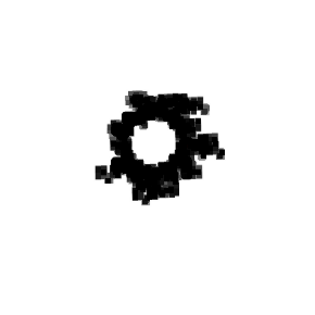 CC[C@@H]1NC(=O)[C@H](Cc2ccccc2)NC(=O)CSC[C@H](C(=O)NCC(N)=O)NC(=O)C(Cc2cncn2C)NC(=O)C(CCCNC(=N)N)NC(=O)C(Cc2c[nH]cn2)NC(=O)C(Cc2ccc(O)cc2)N(C)C(=O)C(CCCNC(=N)N)NC(=O)C(CO)NC(=O)C(CCCNC(=N)N)NC(=O)C(Cc2c[nH]cn2)NC(=O)C(Cc2cccc3ccccc23)NC1=O